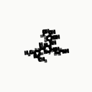 Cc1cc(Nc2ncc(N/C=C\C=N)c(N[C@@H]3C[C@H](CO)[C@@H](O)[C@H]3O)n2)cc(C)n1